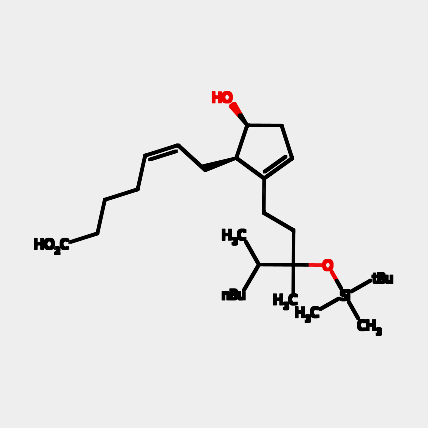 CCCCC(C)C(C)(CCC1=CC[C@H](O)[C@@H]1C/C=C\CCCC(=O)O)O[Si](C)(C)C(C)(C)C